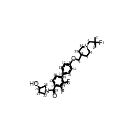 CC(C)(F)CN1CCC(COc2ccc(-c3ccc(C(=O)N4CCC(O)C4)c(F)c3F)cc2)CC1